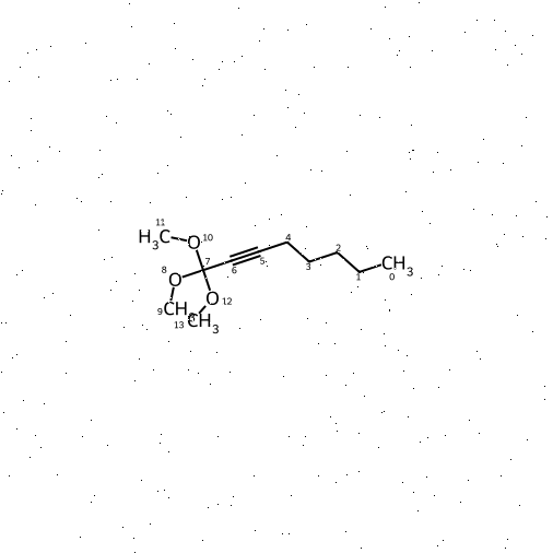 CCCCCC#CC(OC)(OC)OC